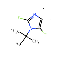 CC(C)(C)n1c(F)cnc1F